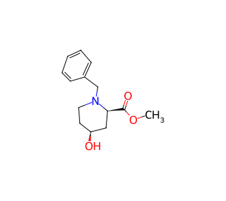 COC(=O)[C@H]1C[C@@H](O)CCN1Cc1ccccc1